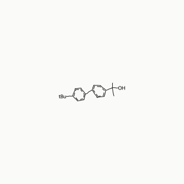 CC(C)(C)c1ccc(-c2ccc(C(C)(C)O)cc2)cc1